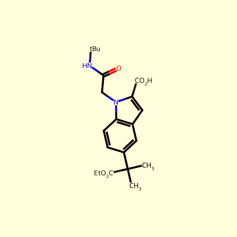 CCOC(=O)C(C)(C)c1ccc2c(c1)cc(C(=O)O)n2CC(=O)NC(C)(C)C